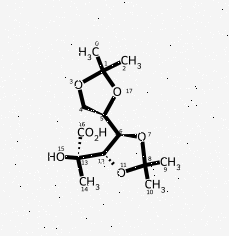 CC1(C)OC[C@H]([C@H]2OC(C)(C)O[C@@H]2[C@@](C)(O)C(=O)O)O1